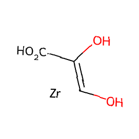 O=C(O)C(O)=CO.[Zr]